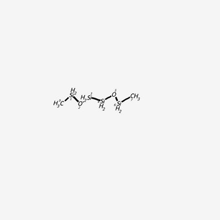 C[SiH2]O[SiH2][SiH2]O[SiH2]C